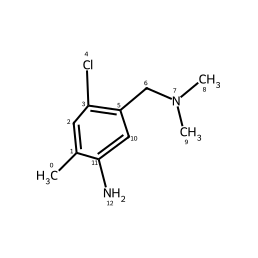 Cc1cc(Cl)c(CN(C)C)cc1N